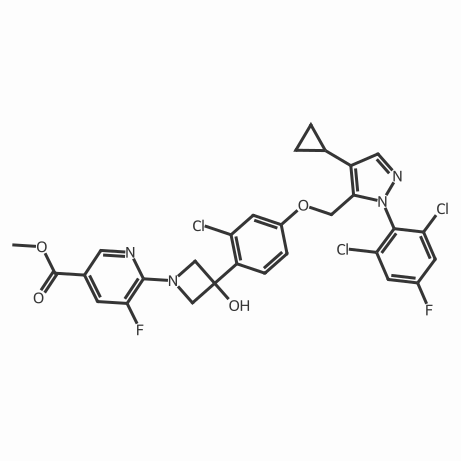 COC(=O)c1cnc(N2CC(O)(c3ccc(OCc4c(C5CC5)cnn4-c4c(Cl)cc(F)cc4Cl)cc3Cl)C2)c(F)c1